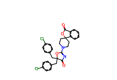 O=C1OC2(CCN(C3=NC(=O)C(Cc4ccc(Cl)cc4)(Cc4ccc(Cl)cc4)O3)CC2)c2ccccc21